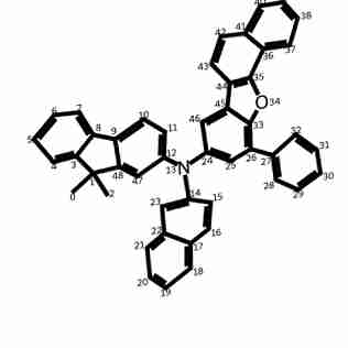 CC1(C)c2ccccc2-c2ccc(N(c3ccc4ccccc4c3)c3cc(-c4ccccc4)c4oc5c6ccccc6ccc5c4c3)cc21